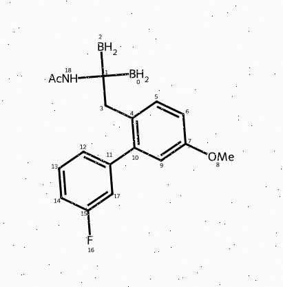 BC(B)(Cc1ccc(OC)cc1-c1cccc(F)c1)NC(C)=O